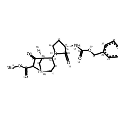 CC(C)(C)OC(=O)C1C(=O)[C@@H]2C[N@@]1CC[C@@H]2N1CC[C@H](NC(=O)OCc2ccccc2)C1=O